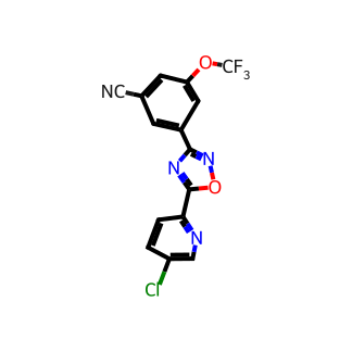 N#Cc1cc(OC(F)(F)F)cc(-c2noc(-c3ccc(Cl)cn3)n2)c1